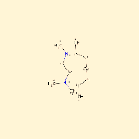 CC[CH2][Ga+][CH2]CC.C[N-]CCN(C)C